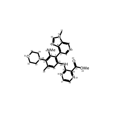 CNc1c(-c2cncc3c2ncn3C)c(Nc2nccnc2C(=O)OC)cc(C)c1N1CCOCC1